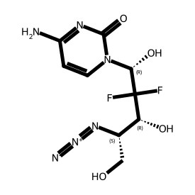 [N-]=[N+]=N[C@@H](CO)[C@@H](O)C(F)(F)[C@@H](O)n1ccc(N)nc1=O